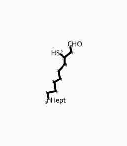 CCCCCCCCCCCCCC(S)CC=O